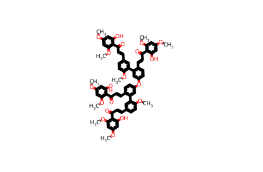 COc1cc(O)c(C(=O)C=Cc2ccc(OC)c(-c3cc(Oc4ccc(C=CC(=O)c5c(O)cc(OC)cc5OC)c(-c5cc(C=CC(=O)c6c(O)cc(OC)cc6OC)ccc5OC)c4)ccc3C=CC(=O)c3c(O)cc(OC)cc3OC)c2)c(OC)c1